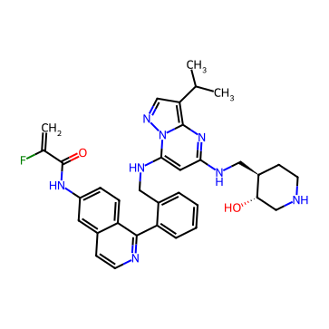 C=C(F)C(=O)Nc1ccc2c(-c3ccccc3CNc3cc(NC[C@H]4CCNC[C@@H]4O)nc4c(C(C)C)cnn34)nccc2c1